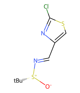 CC(C)(C)[S@@+]([O-])N=Cc1csc(Cl)n1